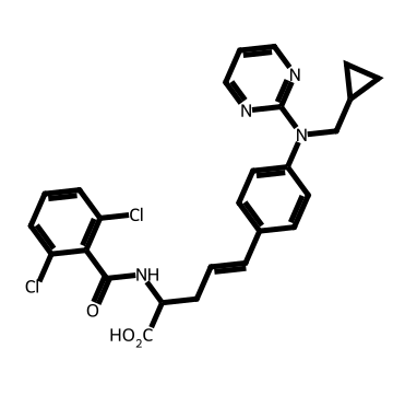 O=C(NC(C/C=C/c1ccc(N(CC2CC2)c2ncccn2)cc1)C(=O)O)c1c(Cl)cccc1Cl